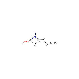 CCCCCC1CC(=O)N1